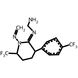 C=NN1/C(=N\CN)C(c2ccc(C(F)(F)F)cc2)CCC1C(F)(F)F